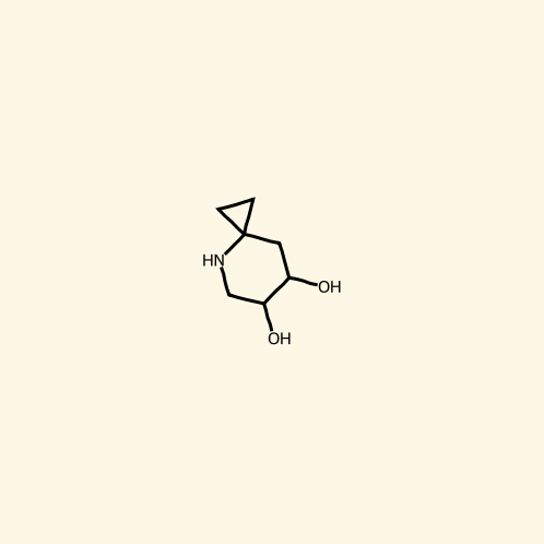 OC1CNC2(CC2)CC1O